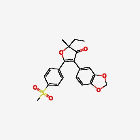 CCC1(C)OC(c2ccc(S(C)(=O)=O)cc2)=C(c2ccc3c(c2)OCO3)C1=O